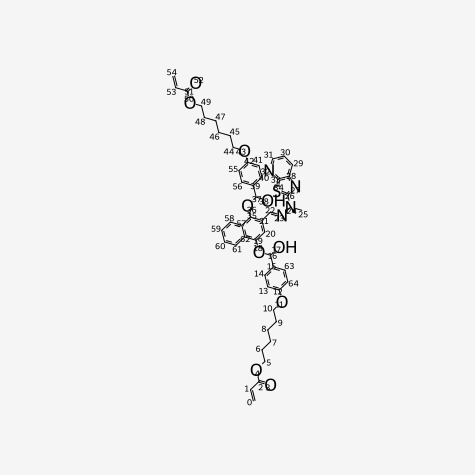 C=CC(=O)OCCCCCCOc1ccc(C(O)Oc2cc(/C=N/N(C)c3nc4cccnc4s3)c(OC(O)c3ccc(OCCCCCCOC(=O)C=C)cc3)c3ccccc23)cc1